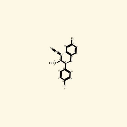 [N-]=[N+]=N[C@H](C(=O)O)[C@@H](Cc1ccc(F)cc1)c1ccc(Cl)cc1